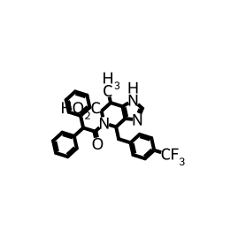 CC1c2[nH]cnc2C(Cc2ccc(C(F)(F)F)cc2)N(C(=O)C(c2ccccc2)c2ccccc2)C1C(=O)O